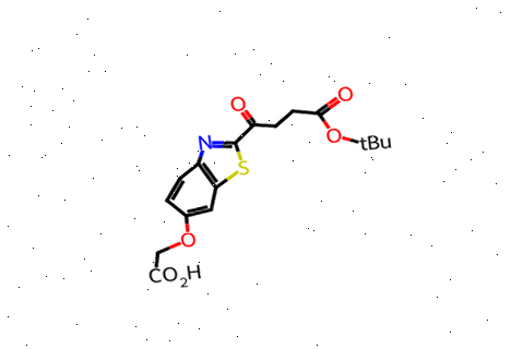 CC(C)(C)OC(=O)CCC(=O)c1nc2ccc(OCC(=O)O)cc2s1